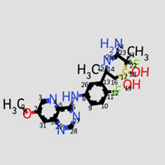 COc1cnc2c(Nc3ccc(F)c([C@]4(C)CS(O)(O)[C@@](C)(F)C(N)=N4)c3)ncnc2c1